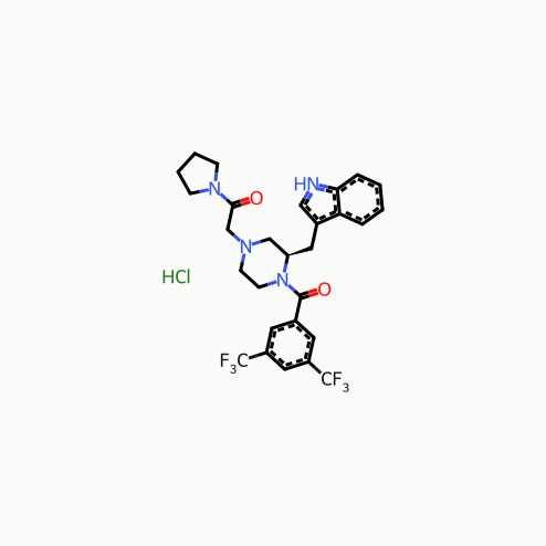 Cl.O=C(CN1CCN(C(=O)c2cc(C(F)(F)F)cc(C(F)(F)F)c2)[C@H](Cc2c[nH]c3ccccc23)C1)N1CCCC1